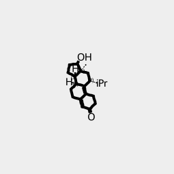 CC(C)[C@H]1C[C@]2(C)C(O)CC[C@H]2[C@@H]2CCC3=CC(=O)CCC3=C21